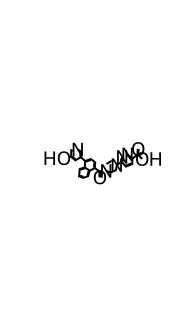 O=C(O)c1ccc(N2CCN(C(=O)c3ccc(-c4cncc(O)c4)c4ccccc34)CC2)nn1